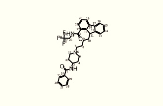 O=C(NC1CCN(CCCCC2c3ccccc3-c3cccc(C(=O)NCC(F)(F)F)c32)CC1)c1ccccc1